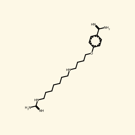 N=C(N)NCCCCCCCNCCCCOc1ccc(C(=N)N)cc1